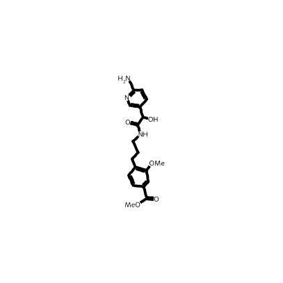 COC(=O)c1ccc(CCCNC(=O)C(O)c2ccc(N)nc2)c(OC)c1